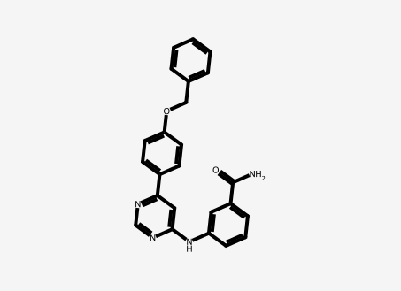 NC(=O)c1cccc(Nc2cc(-c3ccc(OCc4ccccc4)cc3)ncn2)c1